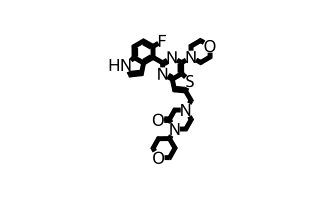 O=C1CN(Cc2cc3nc(-c4c(F)ccc5[nH]ccc45)nc(N4CCOCC4)c3s2)CCN1C1CCOCC1